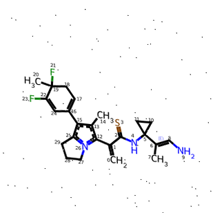 C=C(C(=S)NC1(/C(C)=C/N)CC1)c1c(C)c(C2=CCC(C)(F)C(F)=C2)c2n1CCC2